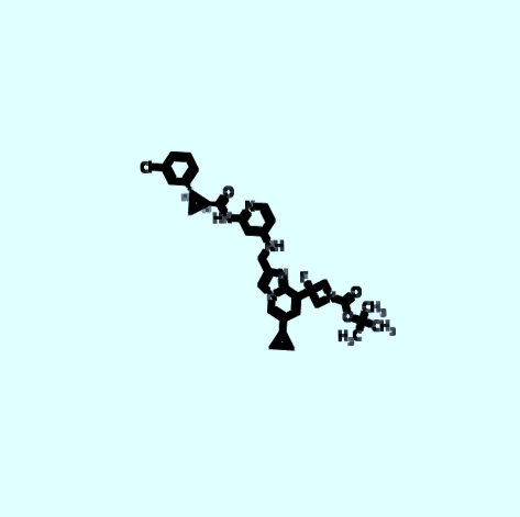 CC(C)(C)OC(=O)N1CC(F)(c2cc(C3CC3)cn3cc(CNc4ccnc(NC(=O)[C@H]5C[C@@H]5c5cccc(Cl)c5)c4)nc23)C1